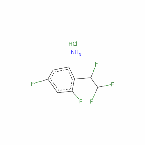 Cl.Fc1ccc(C(F)C(F)F)c(F)c1.N